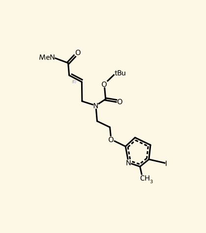 CNC(=O)/C=C/CN(CCOc1ccc(I)c(C)n1)C(=O)OC(C)(C)C